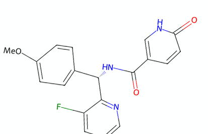 COc1ccc([C@H](NC(=O)c2ccc(=O)[nH]c2)c2ncccc2F)cc1